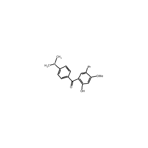 COc1cc(O)c(C(=O)c2ccc(N(C)C)cc2)cc1C(C)C